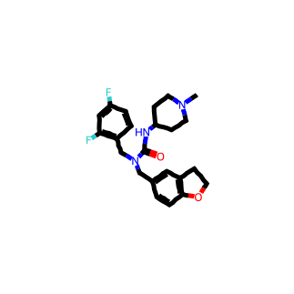 CN1CCC(NC(=O)N(Cc2ccc3c(c2)CCO3)Cc2ccc(F)cc2F)CC1